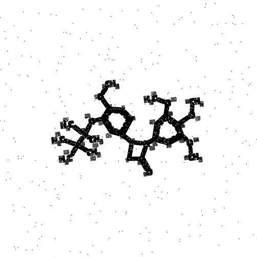 COc1ccc(C2CC(=O)N2c2cc(OC)c(OC)c(OC)c2)cc1O[Si](C)(C)C(C)(C)C